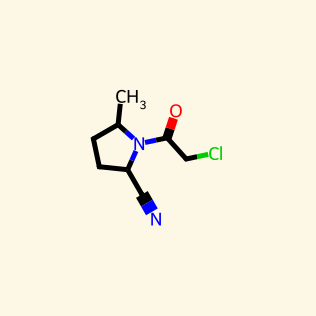 CC1CCC(C#N)N1C(=O)CCl